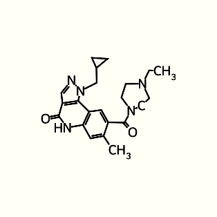 CCN1CCN(C(=O)c2cc3c(cc2C)[nH]c(=O)c2cnn(CC4CC4)c23)CC1